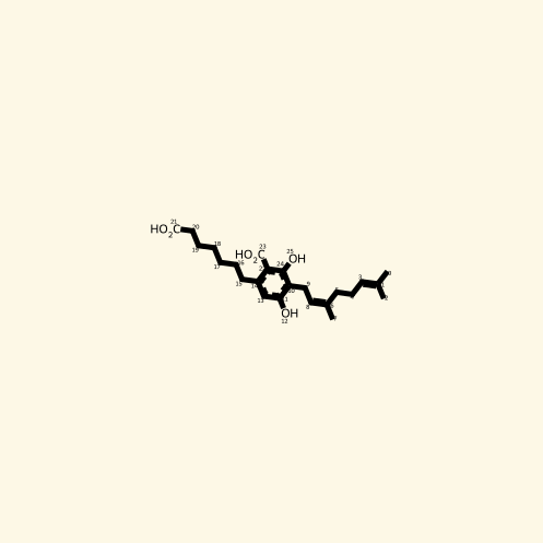 CC(C)=CCCC(C)=CCc1c(O)cc(CCCCCCC(=O)O)c(C(=O)O)c1O